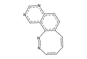 C1=CN=Nc2c(ccc3ncncc23)C=C1